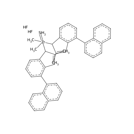 CC1=Cc2c(-c3cccc4ccccc34)cccc2[CH]1[Zr]([CH3])([CH3])(=[SiH2])[CH]1C(C)=Cc2c(-c3cccc4ccccc34)cccc21.F.F